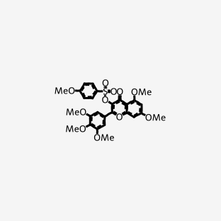 COc1ccc(S(=O)(=O)Oc2c(-c3cc(OC)c(OC)c(OC)c3)oc3cc(OC)cc(OC)c3c2=O)cc1